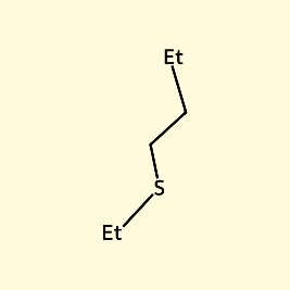 [CH2]CCCSC[CH2]